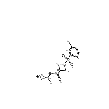 Cc1cccc(S(=O)(=O)N2CC(C(=O)NC(C)C(=O)O)C2)c1